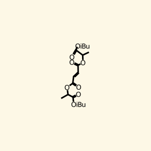 CC(C)COC(=O)C(C)OC(=O)/C=C/C(=O)OC(C)C(=O)OCC(C)C